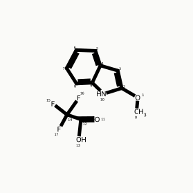 COc1cc2ccccc2[nH]1.O=C(O)C(F)(F)F